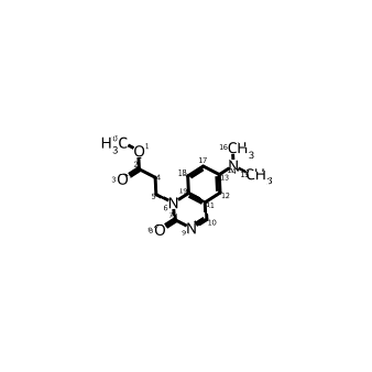 COC(=O)CCn1c(=O)ncc2cc(N(C)C)ccc21